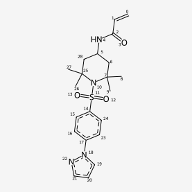 C=CC(=O)NC1CC(C)(C)N(S(=O)(=O)c2ccc(-n3cccn3)cc2)C(C)(C)C1